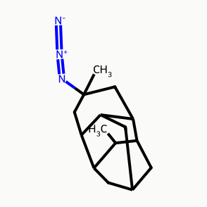 CC1C2CC3CC1C1CC(C)(N=[N+]=[N-])CC2C1C3